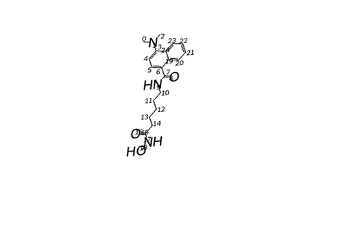 CN(C)c1ccc(C(=O)NCCCCCC(=O)NO)c2ccccc12